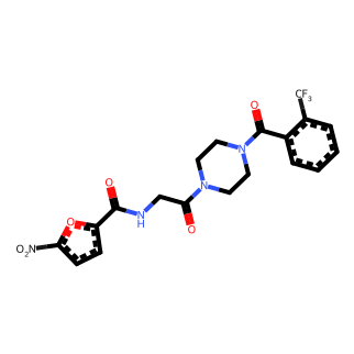 O=C(NCC(=O)N1CCN(C(=O)c2ccccc2C(F)(F)F)CC1)c1ccc([N+](=O)[O-])o1